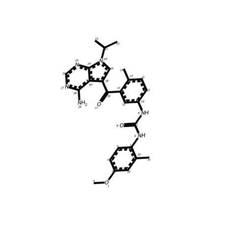 COc1ccc(NC(=O)Nc2ccc(C)c(C(=O)c3cn(C(C)C)c4ncnc(N)c34)c2)c(C)c1